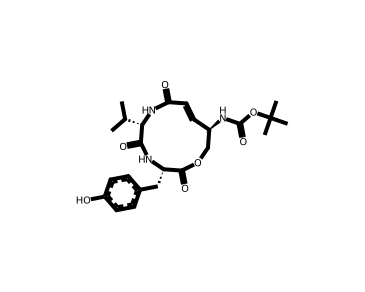 CC(C)[C@@H]1NC(=O)/C=C/[C@@H](NC(=O)OC(C)(C)C)COC(=O)[C@H](Cc2ccc(O)cc2)NC1=O